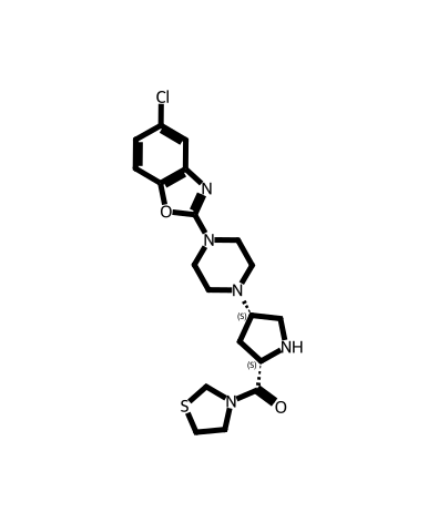 O=C([C@@H]1C[C@H](N2CCN(c3nc4cc(Cl)ccc4o3)CC2)CN1)N1CCSC1